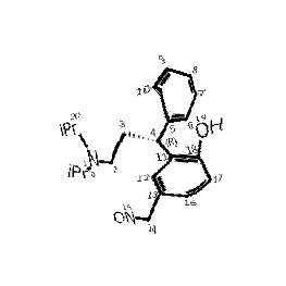 CC(C)N(CC[C@H](c1ccccc1)c1cc(CN=O)ccc1O)C(C)C